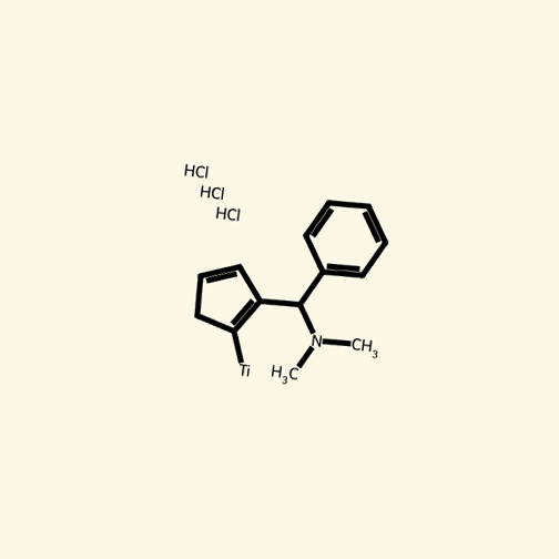 CN(C)C(C1=[C]([Ti])CC=C1)c1ccccc1.Cl.Cl.Cl